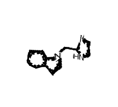 c1ccc2c(c1)ccn2Cc1ncc[nH]1